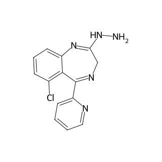 NNC1=Nc2cccc(Cl)c2C(c2ccccn2)=NC1